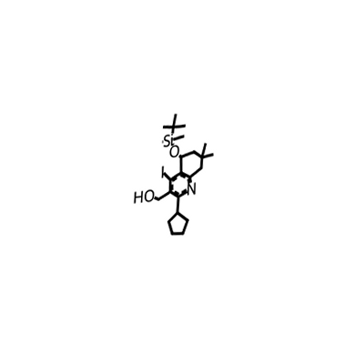 CC1(C)Cc2nc(C3CCCC3)c(CO)c(I)c2C(O[Si](C)(C)C(C)(C)C)C1